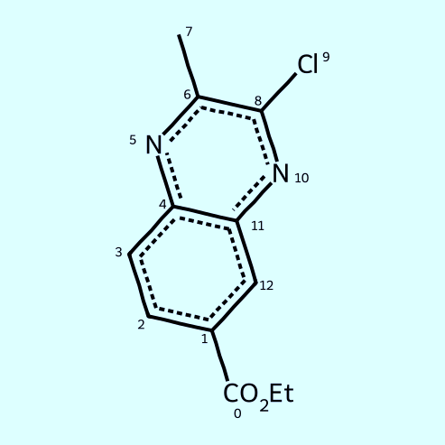 CCOC(=O)c1ccc2nc(C)c(Cl)nc2c1